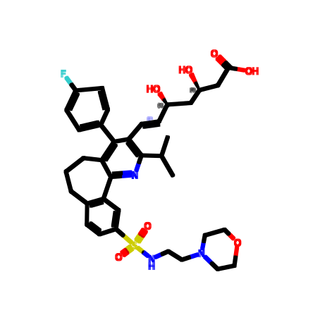 CC(C)c1nc2c(c(-c3ccc(F)cc3)c1/C=C/[C@@H](O)C[C@@H](O)CC(=O)O)CCCc1ccc(S(=O)(=O)NCCN3CCOCC3)cc1-2